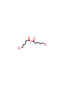 O=C(CCCCBr)OC(=O)CCCCBr